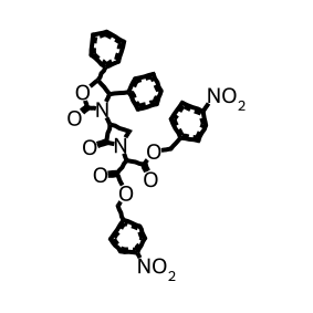 O=C(OCc1ccc([N+](=O)[O-])cc1)C(C(=O)OCc1ccc([N+](=O)[O-])cc1)N1CC(N2C(=O)OC(c3ccccc3)C2c2ccccc2)C1=O